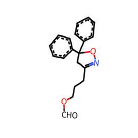 O=COCCCC1=NOC(c2ccccc2)(c2ccccc2)C1